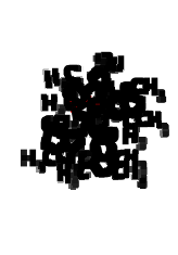 Cc1cc2c3c(c1)N(c1ccc4c(c1)C(C)(C)CCC4(C)C)c1c(oc4cc5c(cc14)C(C)(C)CCC5(C)C)B3c1cc3c(cc1N2c1ccc(C(C)(C)C)cc1-c1c(C)cccc1C)C(C)(C)CCC3(C)C